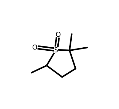 CC1CCC(C)(C)S1(=O)=O